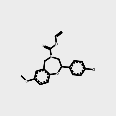 C=COC(=O)N1Cc2cc(OC)ccc2OC(c2ccc(Cl)cc2)C1